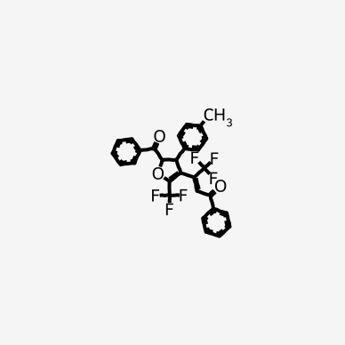 Cc1ccc(C2C(C(=CC(=O)c3ccccc3)C(F)(F)F)=C(C(F)(F)F)OC2C(=O)c2ccccc2)cc1